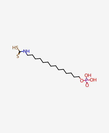 O=P(O)(O)OCCCCCCCCCCCCCCNC(=S)S